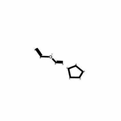 C1CCCC1.C=COC=C